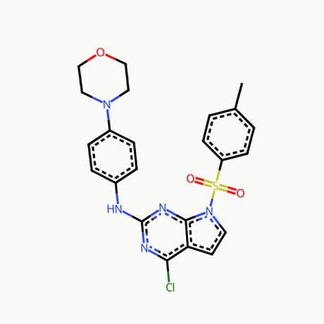 Cc1ccc(S(=O)(=O)n2ccc3c(Cl)nc(Nc4ccc(N5CCOCC5)cc4)nc32)cc1